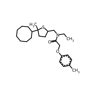 CCN(CC1CCC(C)(C2CCCCCCC2)S1)C(=O)COc1ccc(C)cc1